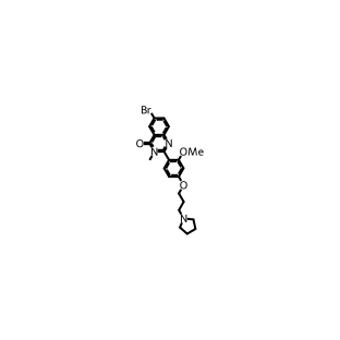 COc1cc(OCCCN2CCCC2)ccc1-c1nc2ccc(Br)cc2c(=O)n1C